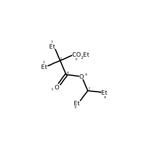 CCOC(=O)C(CC)(CC)C(=O)OC(CC)CC